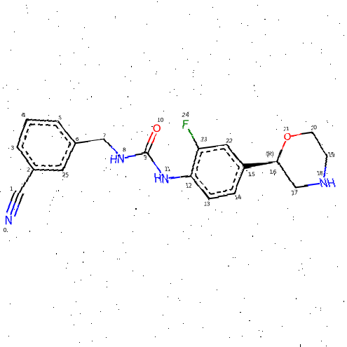 N#Cc1cccc(CNC(=O)Nc2ccc([C@@H]3CNCCO3)cc2F)c1